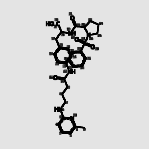 Cc1cccc(NCCCC(=O)Nc2ccc(CC(NC(=O)C3CCCN3S(=O)(=O)c3ccccc3)C(=O)O)cc2)n1